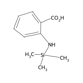 C[Si](C)(C)Nc1ccccc1C(=O)O